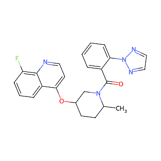 CC1CCC(Oc2ccnc3c(F)cccc23)CN1C(=O)c1ccccc1-n1nccn1